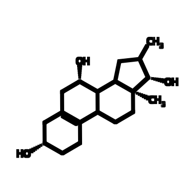 CC1CC2C3C(CC[C@]2(C)[C@H]1O)C1=C(C[C@@H](O)CC1)C[C@@H]3O